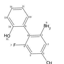 Bc1cc(C)cc(F)c1-c1ccccc1O